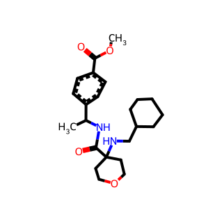 COC(=O)c1ccc(C(C)NC(=O)C2(NCC3CCCCC3)CCOCC2)cc1